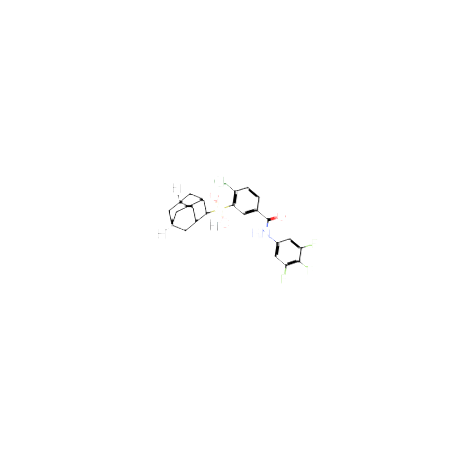 O=C(Nc1cc(F)c(F)c(F)c1)c1ccc(Cl)c(S(=O)(=O)[C@H]2C3C[C@H]4CC2C[C@@H](C3)C4)c1